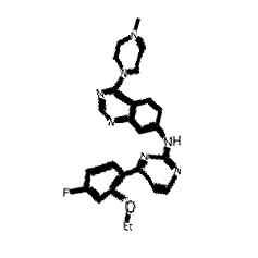 CCOc1cc(F)ccc1-c1ccnc(Nc2ccc3c(N4CCN(C)CC4)ncnc3c2)n1